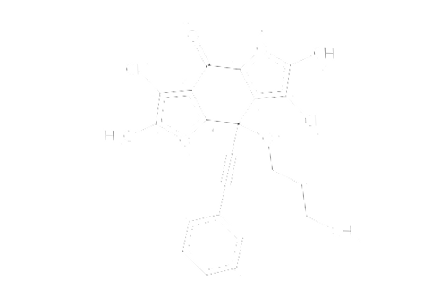 CCCCOC1(C#Cc2ccccc2)c2oc(C)c(Cl)c2C(=O)c2oc(C)c(Cl)c21